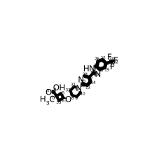 C[C@]1(C(=O)O)C[C@@H](OC2CCN(c3ccc(-c4nc5cc(C(F)(F)F)ccc5[nH]4)cn3)CC2)C1